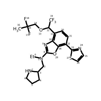 CCN(CC1CCCN1)c1nc2c(C(OCC(C)(F)F)C(F)(F)F)ccc(-c3nccs3)c2o1